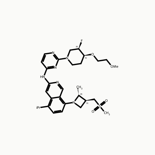 COCCO[C@H]1CCN(c2nccc(Nc3cc4c(C(C)C)ccc(N5C[C@H](CS(C)(=O)=O)[C@H]5C)c4cn3)n2)C[C@H]1F